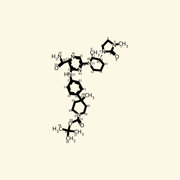 C[C@@H]1[C@H](N2CCN(C)C2=O)CCCN1c1cnc(C(N)=O)c(Nc2ccc(C3(C)CCN(C(=O)OC(C)(C)C)CC3)cc2)n1